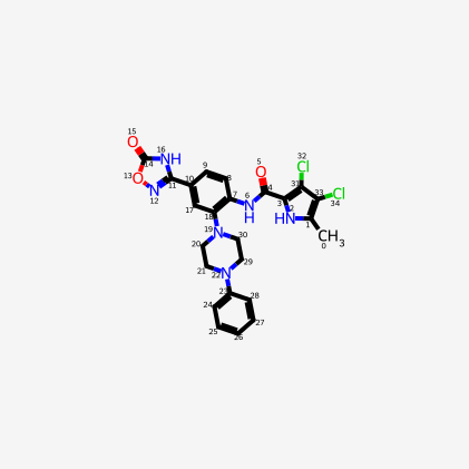 Cc1[nH]c(C(=O)Nc2ccc(-c3noc(=O)[nH]3)cc2N2CCN(c3ccccc3)CC2)c(Cl)c1Cl